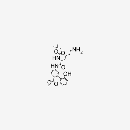 COC(=O)c1ccc(NC(=O)C(CCCCN)NC(=O)OC(C)(C)C)cc1-c1ccccc1O